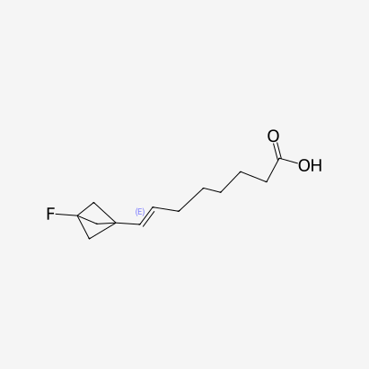 O=C(O)CCCCC/C=C/C12CC(F)(C1)C2